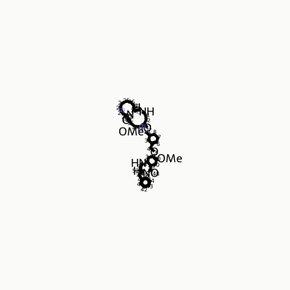 COC1=C(OCC2=CCCC(CO/C3=C(\OC)CCC(=O)N4C(C)/C=C\CCCC[C@H]4CNCC3)C2)CC2NC[C@@H]3Cc4ccccc4N3C(=O)C2C1